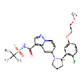 COCCOc1ccc(F)c([C@H]2CCCN2c2ccn3ncc(C(=O)NS(=O)(=O)C(C)(C)C)c3c2)c1